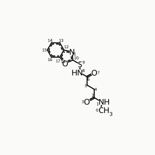 CNC(=O)CCC(=O)NSc1nc2ccccc2o1